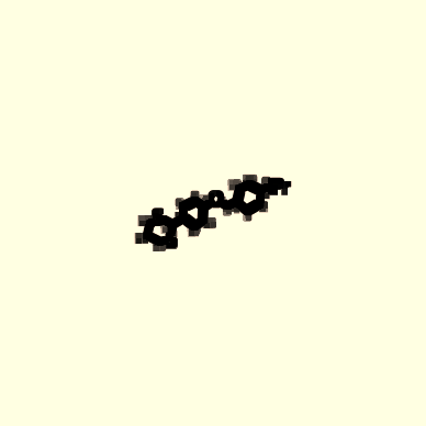 CC(C)c1ccc(COc2ccc(C3SCCCS3)cc2)cc1